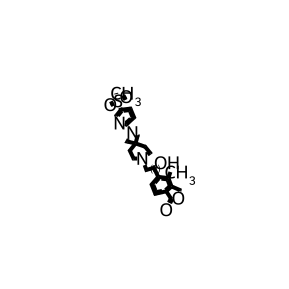 Cc1c([C@@H](O)CN2CCC3(CC2)CN(c2ccc(S(C)(=O)=O)cn2)C3)ccc2c1COC2=O